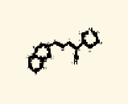 N#CC(=CC=Cc1ccc2ccccc2c1)c1cccnc1